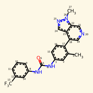 Cc1cc(NC(=O)Nc2cccc(C(F)(F)F)c2)ccc1-c1cncc2c1cnn2C